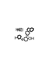 Cl.Cl.OC1CCN(Cc2cccc(I)c2)CC1N1CCC2(C=Cc3ccccc32)CC1